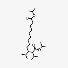 CC(C)OC(=O)CCCCCCCCC(C(C)C)C(C(=O)OC(C)C)C(C)C